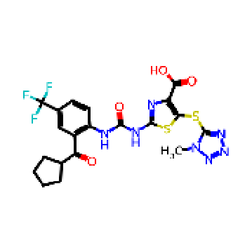 Cn1nnnc1Sc1sc(NC(=O)Nc2ccc(C(F)(F)F)cc2C(=O)C2CCCC2)nc1C(=O)O